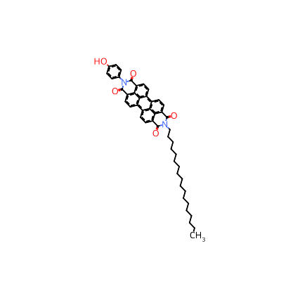 CCCCCCCCCCCCCCCCCCN1C(=O)c2ccc3c4ccc5c6c(ccc(c7ccc(c2c37)C1=O)c64)C(=O)N(c1ccc(O)cc1)C5=O